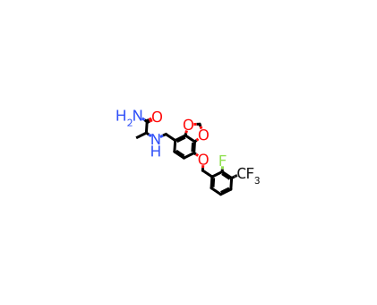 CC(NCc1ccc(OCc2cccc(C(F)(F)F)c2F)c2c1OCO2)C(N)=O